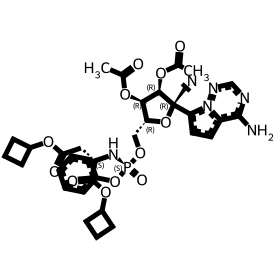 CC(=O)O[C@H]1[C@@H](OC(C)=O)[C@](C#N)(c2ccc3c(N)ncnn23)O[C@@H]1CO[P@@](=O)(N[C@@H](CC(=O)OC1CCC1)C(=O)OC1CCC1)Oc1ccccc1